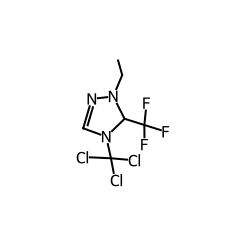 CCN1N=CN(C(Cl)(Cl)Cl)C1C(F)(F)F